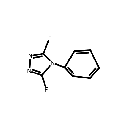 Fc1nnc(F)n1-c1ccccc1